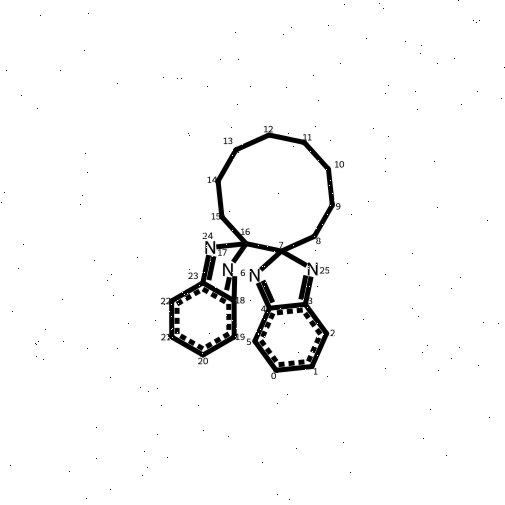 c1ccc2c(c1)=NC1(CCCCCCCCC13N=c1ccccc1=N3)N=2